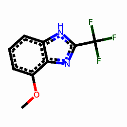 COc1cccc2[nH]c(C(F)(F)F)nc12